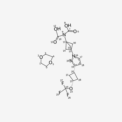 C1COCCO1.O=C(O)N(C(=O)O)C12CC(n3ccc([C@H]4C[C@@H](OC(F)(F)F)C4)n3)(C1)C2